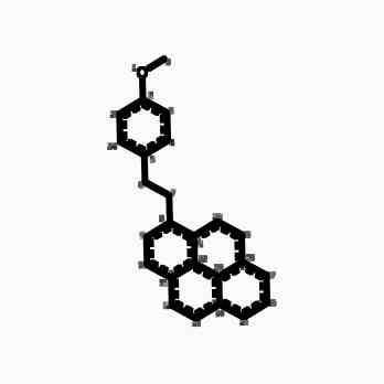 COc1ccc(CCc2ccc3ccc4cccc5ccc2c3c45)cc1